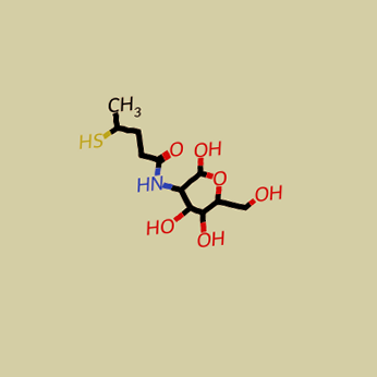 CC(S)CCC(=O)NC1C(O)OC(CO)C(O)C1O